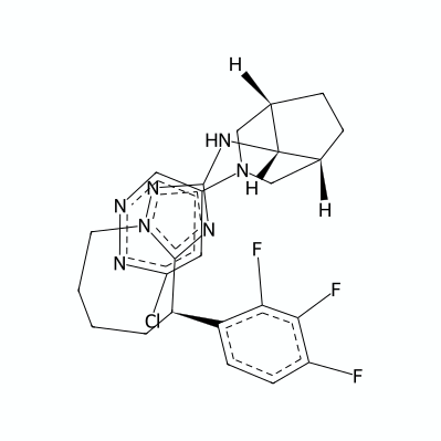 Fc1ccc([C@H]2CCCCn3nc(N[C@H]4[C@@H]5CC[C@H]4CN(c4cnnc(Cl)c4)C5)nc32)c(F)c1F